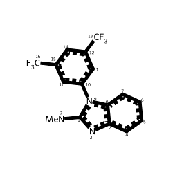 CNc1nc2ccccc2n1-c1cc(C(F)(F)F)cc(C(F)(F)F)c1